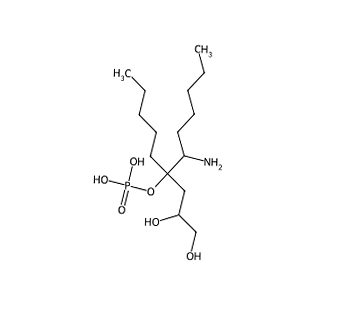 CCCCCC(N)C(CCCCC)(CC(O)CO)OP(=O)(O)O